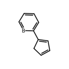 b1ccccc1C1=CC=CC1